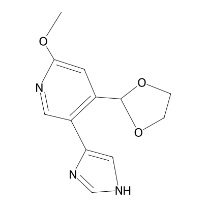 COc1cc(C2OCCO2)c(-c2c[nH]cn2)cn1